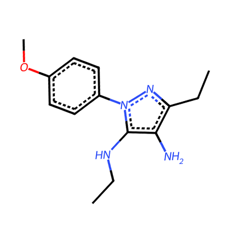 CCNc1c(N)c(CC)nn1-c1ccc(OC)cc1